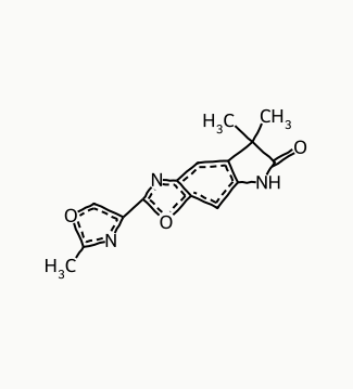 Cc1nc(-c2nc3cc4c(cc3o2)NC(=O)C4(C)C)co1